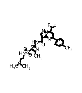 Cc1nc(NC(=O)c2cnn3c(C(F)F)cc(-c4ccc(C(F)(F)F)cc4)nc23)sc1S(=O)(=O)NCCN(C)C